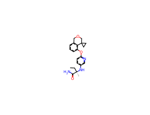 CC[C@@](C)(Nc1ccc(Oc2cccc3c2C2(CC2)COC3)nc1)C(N)=O